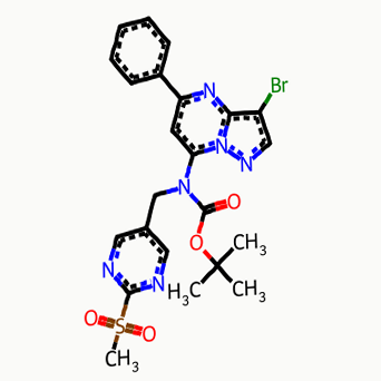 CC(C)(C)OC(=O)N(Cc1cnc(S(C)(=O)=O)nc1)c1cc(-c2ccccc2)nc2c(Br)cnn12